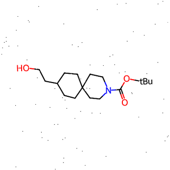 CC(C)(C)OC(=O)N1CCC2(CCC(CCO)CC2)CC1